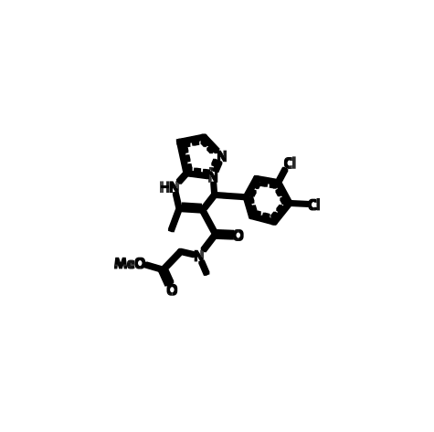 COC(=O)CN(C)C(=O)C1=C(C)Nc2ccnn2C1c1ccc(Cl)c(Cl)c1